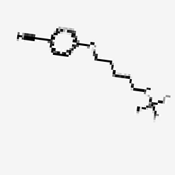 N#Cc1ccc(OCCCCCOC(F)(F)F)cc1